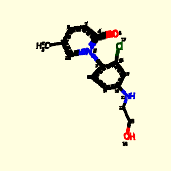 Cc1ccc(=O)n(-c2ccc(NCCO)cc2Cl)c1